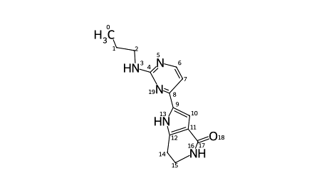 CCCNc1nccc(-c2cc3c([nH]2)CCNC3=O)n1